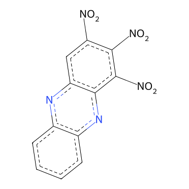 O=[N+]([O-])c1cc2nc3ccccc3nc2c([N+](=O)[O-])c1[N+](=O)[O-]